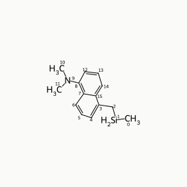 C[SiH2]Cc1cccc2c(N(C)C)cccc12